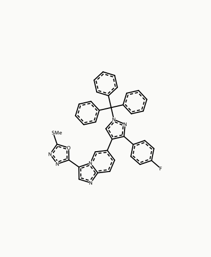 CSc1nnc(-c2cnc3ccc(-c4cn(C(c5ccccc5)(c5ccccc5)c5ccccc5)nc4-c4ccc(F)cc4)cn23)o1